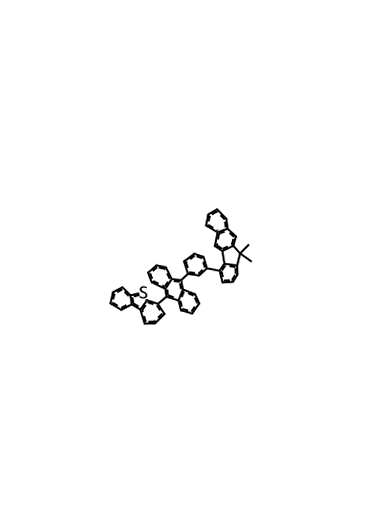 CC1(C)c2cc3ccccc3cc2-c2c(-c3cccc(-c4c5ccccc5c(-c5cccc6c5sc5ccccc56)c5ccccc45)c3)cccc21